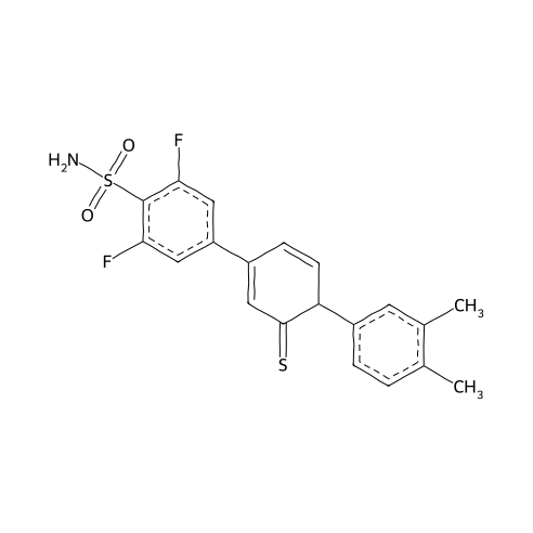 Cc1ccc(C2C=CC(c3cc(F)c(S(N)(=O)=O)c(F)c3)=CC2=S)cc1C